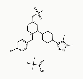 Cc1c(C2CCC(N3C[C@H](CS(C)(=O)=O)OC[C@@H]3Cc3ccc(Cl)cc3)CC2)cnn1C.O=C(O)C(F)(F)F